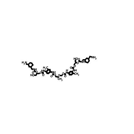 Cc1cc(NC(=O)OCC(C)OCOC(=O)Nc2ccc(C)c(NC(=O)OCC(CO)OC(=O)NCC3CCCC(CN)C3)c2)ccc1NC(=O)OCC(CO)OC(=O)NCC1CCCC(CN)C1